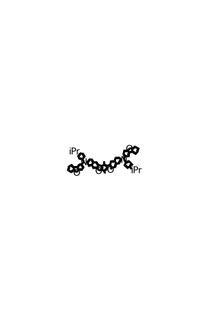 Cc1c2oc3cc4cc(N(c5ccc(C(C)C)cc5)c5ccc6oc7ccccc7c6c5)ccc4cc3c2c(C)c2c1oc1cc3cc(N(c4ccc(C(C)C)cc4)c4ccc5oc6ccccc6c5c4)ccc3cc12